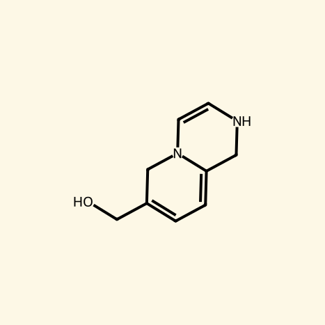 OCC1=CC=C2CNC=CN2C1